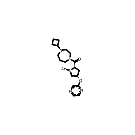 CC(=O)N1C[C@@H](Oc2cnccn2)C[C@@H]1C(=O)N1CCCN(C2CCC2)CC1